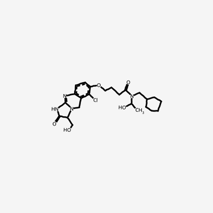 CC(O)N(CC1CCCCC1)C(=O)CCCOc1ccc2c(c1Cl)CN1C(=N2)NC(=O)C1CO